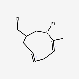 CCN1CC(CCl)C/C=C/C/C=C\1C